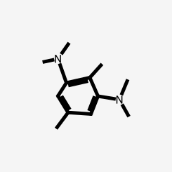 Cc1cc(N(C)C)c(C)c(N(C)C)c1